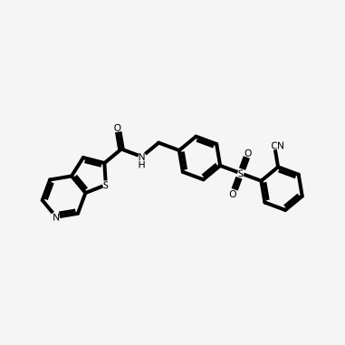 N#Cc1ccccc1S(=O)(=O)c1ccc(CNC(=O)c2cc3ccncc3s2)cc1